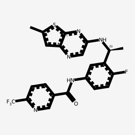 Cc1cc2ncc(N[C@@H](C)c3cc(NC(=O)c4ccc(C(F)(F)F)nc4)ccc3F)nc2s1